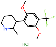 COc1cc(C(F)(F)F)c(OC)cc1C1CCCNC1C.Cl